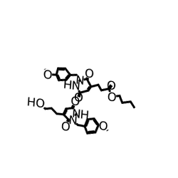 CCCCOC(=O)CCc1cc(=O)[nH]n(Cc2ccc(OC)cc2)c1=O.COc1ccc(Cn2[nH]c(=O)cc(CCCO)c2=O)cc1